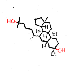 CC[C@]1(O)CC[C@@]2(CC)[C@@H](CC([C@H](C)CCCC(C)(C)O)[C@H]3[C@@H]4CCC[C@]4(C)CC[C@@H]32)C1